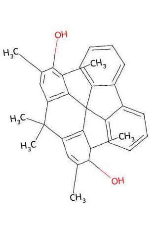 CC1=CC2=C(C(C)C1O)C1(c3ccccc3-c3ccccc31)c1c(cc(C)c(O)c1C)C2(C)C